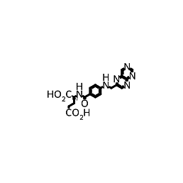 O=C(O)CC[C@H](NC(=O)c1ccc(NCc2cnc3ncncc3n2)cc1)C(=O)O